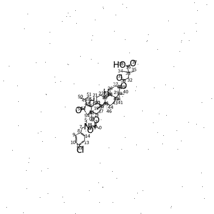 CC(=O)O[C@H](CNCc1ccc(Cl)cc1)[C@@]12CC[C@]3(C)[C@H](CC[C@@H]4[C@@]5(C)CC[C@H](OC(=O)CC(C)(C)C(=O)O)C6(C)C[C@]65CC[C@]43C)C1=C(C(C)C)C(=O)C2